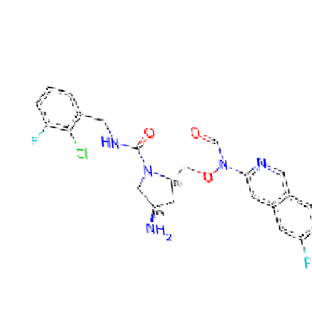 N[C@@H]1C[C@@H](CON(C=O)c2cc3cc(F)ccc3cn2)N(C(=O)NCc2cccc(F)c2Cl)C1